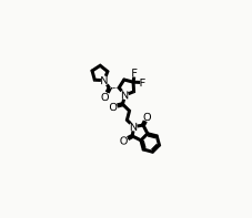 O=C([C@@H]1CC(F)(F)CN1C(=O)CCN1C(=O)c2ccccc2C1=O)N1CCCC1